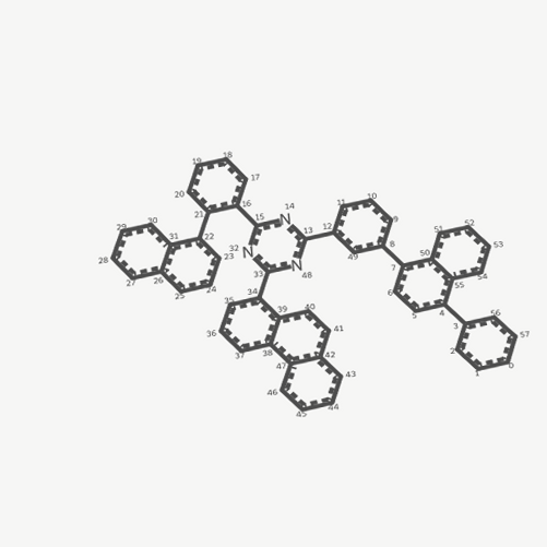 c1ccc(-c2ccc(-c3cccc(-c4nc(-c5ccccc5-c5cccc6ccccc56)nc(-c5cccc6c5ccc5ccccc56)n4)c3)c3ccccc23)cc1